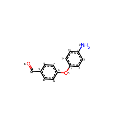 Nc1ccc(Oc2ccc(C=O)cc2)cc1